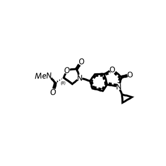 CNC(=O)[C@H]1CN(c2ccc3c(c2)oc(=O)n3C2CC2)C(=O)O1